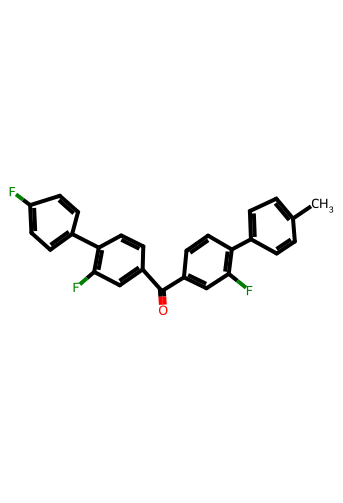 Cc1ccc(-c2ccc(C(=O)c3ccc(-c4ccc(F)cc4)c(F)c3)cc2F)cc1